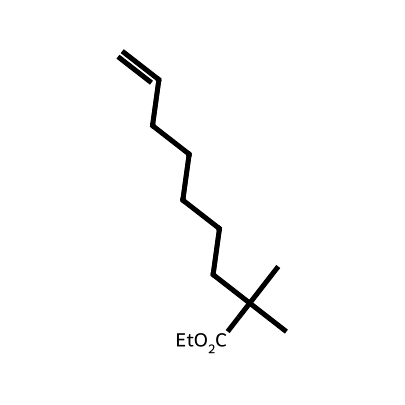 C=CCCCCCC(C)(C)C(=O)OCC